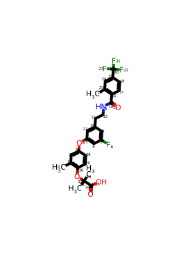 Cc1cc(Oc2cc(F)cc(CCNC(=O)c3ccc(C(F)(F)F)cc3C)c2)ccc1OC(C)(C)C(=O)O